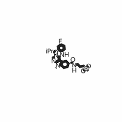 CC(C)Oc1cc(F)ccc1Nc1ncnc2c1c1c(n2C)CC[C@H](C(=O)NCCCS(C)(=O)=O)C1